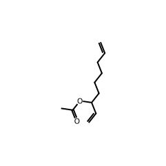 C=CCCCCC(C=C)OC(C)=O